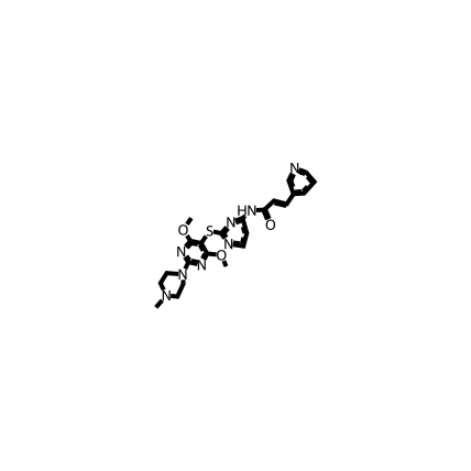 COc1nc(N2CCN(C)CC2)nc(OC)c1Sc1nccc(NC(=O)C=Cc2cccnc2)n1